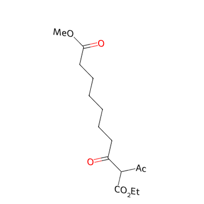 CCOC(=O)C(C(C)=O)C(=O)CCCCCCC(=O)OC